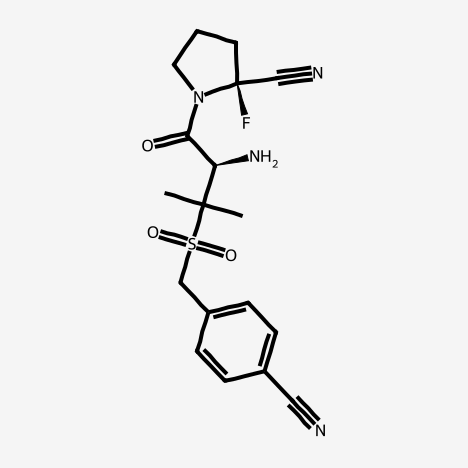 CC(C)([C@H](N)C(=O)N1CCC[C@]1(F)C#N)S(=O)(=O)Cc1ccc(C#N)cc1